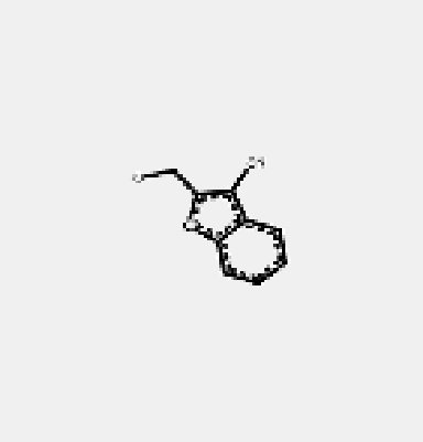 N#Cc1c(C[O])oc2ccccc12